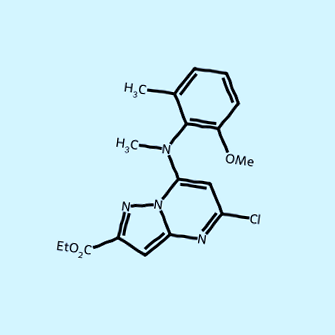 CCOC(=O)c1cc2nc(Cl)cc(N(C)c3c(C)cccc3OC)n2n1